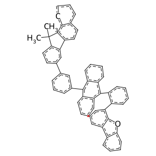 CC1(C)c2ccc(-c3cccc(-c4c5ccccc5c(-c5ccccc5-c5cccc6c5oc5ccccc56)c5ccccc45)c3)cc2-c2ccc3ccccc3c21